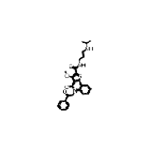 COc1c(C(=O)NCCCNC(C)C)sc2c1c(=O)n(CC(=O)c1ccccc1)c1ccccc21